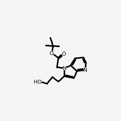 CC(C)(C)OC(=O)Cn1c(CCCO)cc2ncccc21